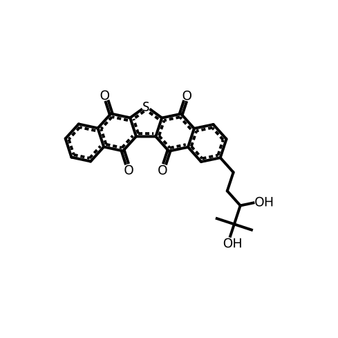 CC(C)(O)C(O)CCc1ccc2c(=O)c3sc4c(=O)c5ccccc5c(=O)c4c3c(=O)c2c1